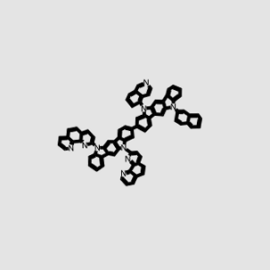 c1ccc2cc(-n3c4ccccc4c4cc5c(cc43)c3ccc(-c4ccc6c7cc8c(cc7n(-c7ccc9ccc%10cccnc%10c9n7)c6c4)c4ccccc4n8-c4ccc6ccc7cccnc7c6n4)cc3n5-c3cccc4cnccc34)ccc2c1